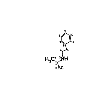 CC(=O)C(C)NCCc1ccccc1